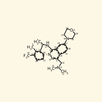 Cc1c([C@@H](C)Nc2nnc(CN(C)C)c3ccc(N4CCOCC4)cc23)cccc1C(F)(F)F